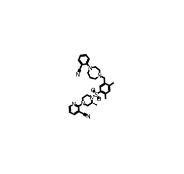 Cc1cc(C)c(S(=O)(=O)N2CCN(c3ncccc3C#N)C[C@@H]2C)cc1CN1CCCN(c2ccccc2C#N)CC1